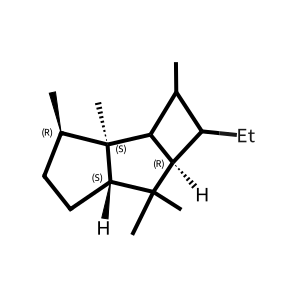 CCC1C(C)C2[C@@H]1C(C)(C)[C@@H]1CC[C@@H](C)[C@@]21C